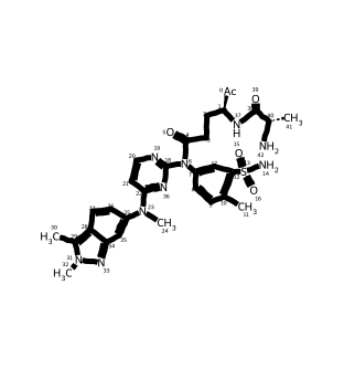 CC(=O)[C@H](CCC(=O)N(c1ccc(C)c(S(N)(=O)=O)c1)c1nccc(N(C)c2ccc3c(C)n(C)nc3c2)n1)NC(=O)[C@H](C)N